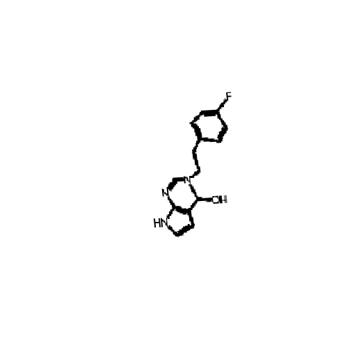 OC1c2cc[nH]c2N=CN1CCc1ccc(F)cc1